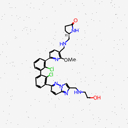 COc1nc(-c2cccc(-c3cccc(-c4ccc5nc(CNCCO)cn5n4)c3Cl)c2Cl)ccc1CNC[C@H]1CCC(=O)N1